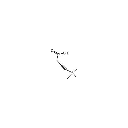 C[Si](C)(C)C#CC[PH](=O)O